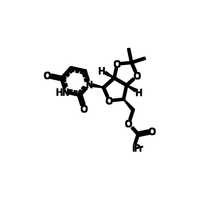 CC(C)C(=O)OC[C@H]1O[C@@H](n2ccc(=O)[nH]c2=O)[C@@H]2OC(C)(C)O[C@@H]21